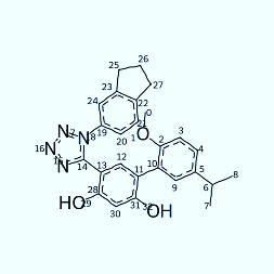 COc1ccc(C(C)C)cc1-c1cc(-c2nnnn2-c2ccc3c(c2)CCC3)c(O)cc1O